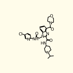 CC(C)N1CCC(NC(=O)c2nc3c(C(=O)N4CCOCC4)cccc3n2CC(=O)Nc2ccc(Cl)cn2)CC1